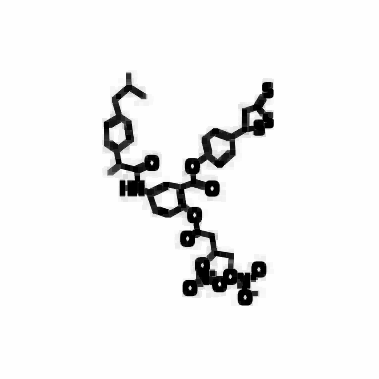 CC(C)Cc1ccc(C(C)C(=O)Nc2ccc(OC(=O)CC(CO[N+](=O)[O-])O[N+](=O)[O-])c(C(=O)Oc3ccc(-c4cc(=S)ss4)cc3)c2)cc1